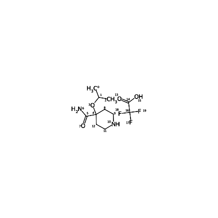 CC(C)OC1(C(N)=O)CCNCC1.O=C(O)C(F)(F)F